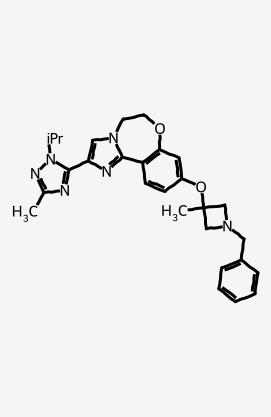 Cc1nc(-c2cn3c(n2)-c2ccc(OC4(C)CN(Cc5ccccc5)C4)cc2OCC3)n(C(C)C)n1